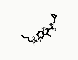 CCCCS(=O)(=O)Nc1ccc2[nH]c(C(=O)NCC3CC3)c(C)c2c1